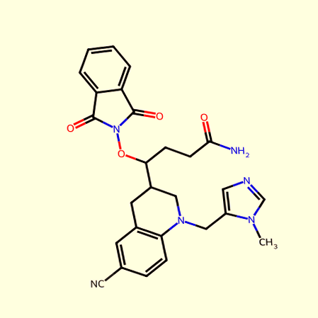 Cn1cncc1CN1CC(C(CCC(N)=O)ON2C(=O)c3ccccc3C2=O)Cc2cc(C#N)ccc21